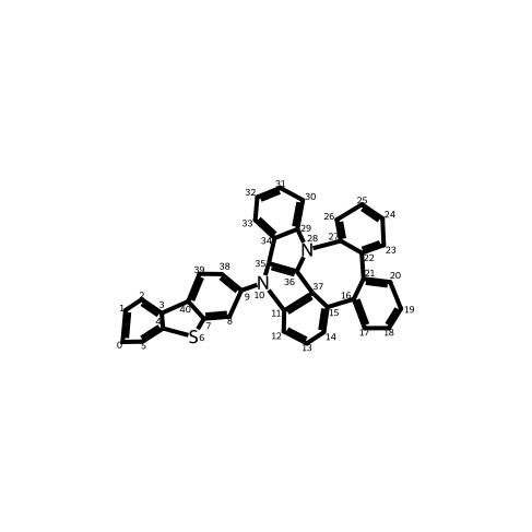 c1ccc2c(c1)sc1cc(-n3c4cccc5c6ccccc6c6ccccc6n6c7ccccc7c3c6c54)ccc12